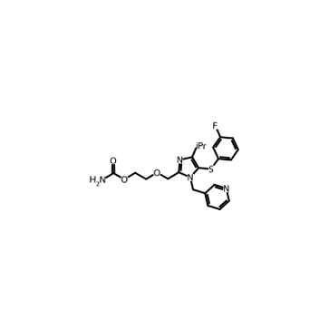 CC(C)c1nc(COCCOC(N)=O)n(Cc2cccnc2)c1Sc1cccc(F)c1